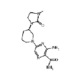 CN1CCN([C@@H]2CCCN(c3cnc(C(N)=O)c(N)n3)C2)C1=O